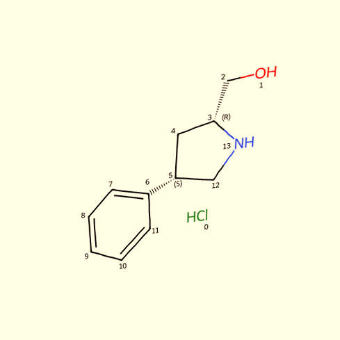 Cl.OC[C@H]1C[C@@H](c2ccccc2)CN1